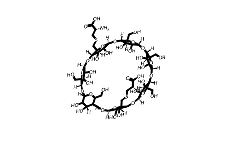 N[C@H](CSCC1O[C@@H]2O[C@@H]3C(CO)O[C@@H](O[C@@H]4C(CO)O[C@@H](O[C@@H]5C(CSC[C@@H](N)C(=O)O)O[C@@H](O[C@@H]6C(CO)O[C@H](O[C@@H]7C(CO)O[C@H](O[C@@H]8C(CO)O[C@@H](OC1[C@H](O)C2O)C(O)[C@H]8O)C(O)[C@H]7O)C(O)[C@H]6O)C(O)[C@H]5O)C(O)[C@H]4O)C(O)[C@H]3O)C(=O)O